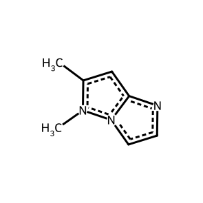 Cc1cc2nccn2n1C